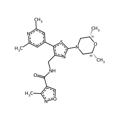 Cc1cc(-c2sc(N3C[C@@H](C)O[C@@H](C)C3)nc2CNC(=O)c2conc2C)cc(C)n1